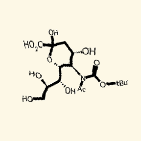 CC(=O)N(C(=O)OC(C)(C)C)[C@H]1[C@H]([C@H](O)[C@H](O)CO)OC(O)(C(=O)O)C[C@@H]1O